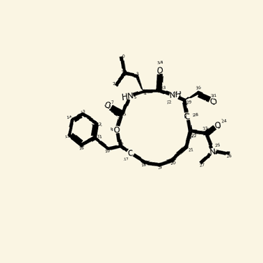 CC(C)C[C@@H]1NC(=O)OC(Cc2ccccc2)CCCCCC(C(=O)N(C)C)C[C@H](C=O)NC1=O